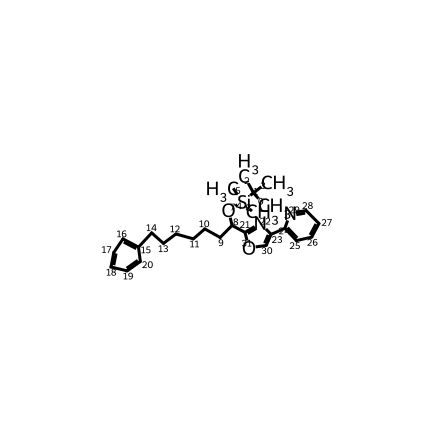 CC(C)(C)[Si](C)(C)OC(CCCCCCc1ccccc1)c1nc(-c2ccccn2)co1